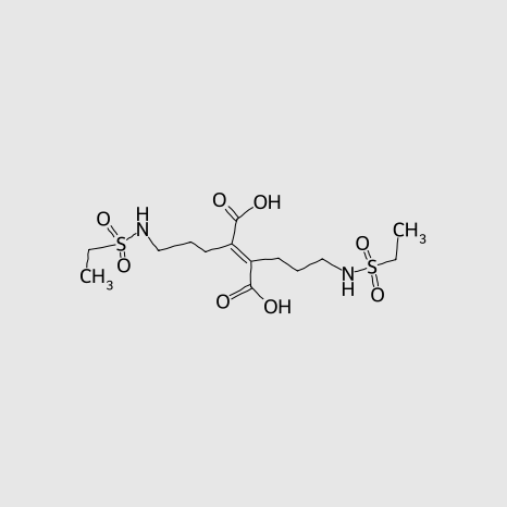 CCS(=O)(=O)NCCCC(C(=O)O)=C(CCCNS(=O)(=O)CC)C(=O)O